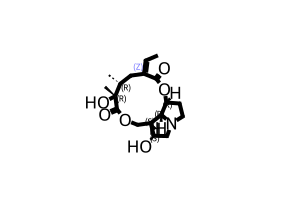 C/C=C1/C[C@@H](C)[C@@](C)(O)C(=O)OC[C@@H]2[C@@H]3[C@@H](CCN3C[C@H]2O)OC1=O